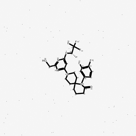 C[C@H](Oc1cc(N2CCC3(CCCC(=O)N3c3ccc(F)c(F)c3)CC2)nc(CO)n1)C(F)(F)F